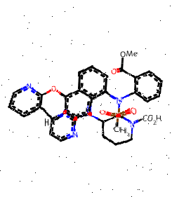 COC(=O)c1ccccc1N(c1cccc2c(Oc3ncccc3-c3ccnc(NC4CCCN(C(=O)O)C4)n3)c(C)ccc12)S(C)(=O)=O